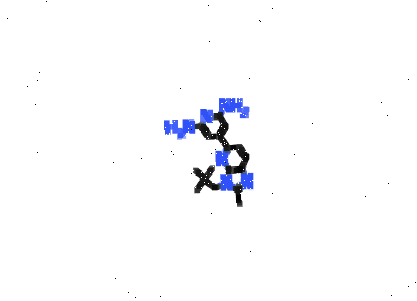 Cc1nc2ccc(-c3cc(N)nc(N)c3)nc2n1CC(C)(C)C